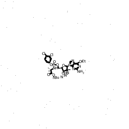 CCCCOC(=O)[C@H](C)NP(=O)(OC[C@H]1O[C@@H](n2cnc3c(OCC)nc(N)nc32)[C@](C)(N=[N+]=[N-])[C@@H]1O)Oc1ccc(Cl)c(Cl)c1